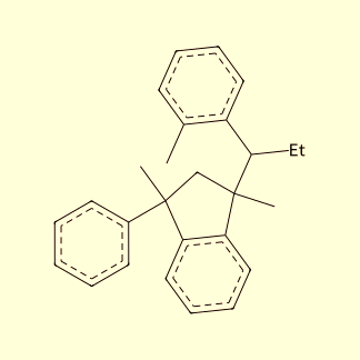 CCC(c1ccccc1C)C1(C)CC(C)(c2ccccc2)c2ccccc21